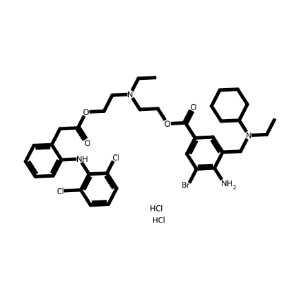 CCN(CCOC(=O)Cc1ccccc1Nc1c(Cl)cccc1Cl)CCOC(=O)c1cc(Br)c(N)c(CN(CC)C2CCCCC2)c1.Cl.Cl